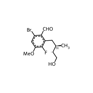 COc1cc(Br)c(C=O)c(C[C@@H](C)[CH]CO)c1F